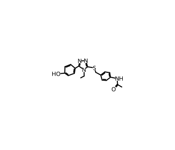 CCn1c(SCc2ccc(NC(C)=O)cc2)nnc1-c1ccc(O)cc1